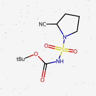 CC(C)(C)OC(=O)NS(=O)(=O)N1CCCC1C#N